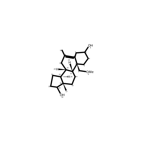 COC[C@]12CCC(O)CC1=C(C)C[C@@H]1[C@H]2CC[C@]2(C)C(O)CC[C@@H]12